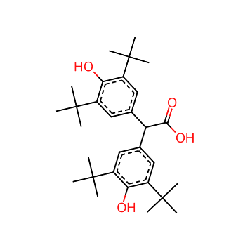 CC(C)(C)c1cc(C(C(=O)O)c2cc(C(C)(C)C)c(O)c(C(C)(C)C)c2)cc(C(C)(C)C)c1O